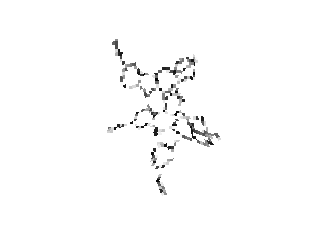 N#Cc1cc(-n2c3ccc(C#N)cc3c3cc(C#N)ccc32)c(-c2cc(-c3ccccc3)nc(-c3ccccc3)n2)c(-n2c3ccc(C#N)cc3c3cc(C#N)ccc32)c1